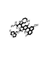 CCc1c(F)ccc2cc(O)cc(-c3c(F)cc4c(-c5c(C(=O)NC(C)C)nn6c5CNCCC6)nc(OC[C@@]56CCCN5C[C@H](F)C6)nc4c3F)c12